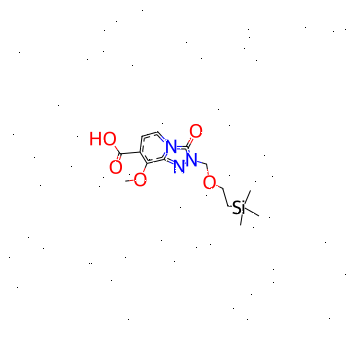 COc1c(C(=O)O)ccn2c(=O)n(COCC[Si](C)(C)C)nc12